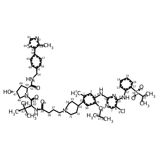 Cc1cc(Nc2ncc(Cl)c(Nc3ccccc3S(=O)(=O)C(C)C)n2)c(OC(C)C)cc1C1CCN(CCCC(=O)NC(C(=O)N2C[C@H](O)C[C@H]2C(=O)NCc2ccc(-c3scnc3C)cc2)C(C)(C)C)CC1